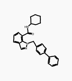 O=C(NC1CCCCC1)c1cccc2cnn(Cc3ccc(-c4ccccc4)cc3)c12